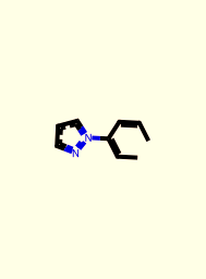 C/C=C\C(=C/C)n1cccn1